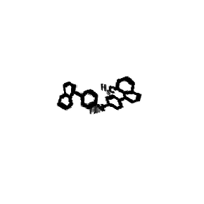 CC1CC=Cc2cccc(-c3ccc(Nc4ccc(-c5cccc6ccccc56)cc4)cc3)c21